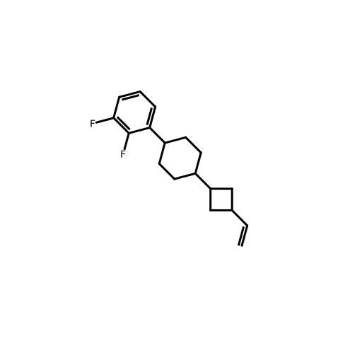 C=CC1CC(C2CCC(c3cccc(F)c3F)CC2)C1